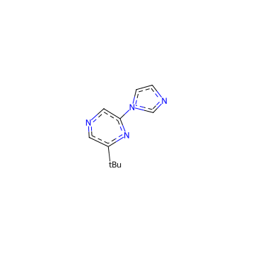 CC(C)(C)c1cncc(-n2ccnc2)n1